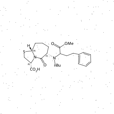 CCCCN(C(CCc1ccccc1)C(=O)OC)[C@H]1CCC[C@H]2SC[C@@H](C(=O)O)N2C1=O